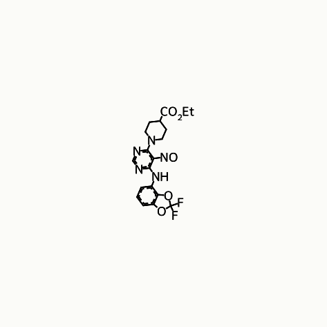 CCOC(=O)C1CCN(c2ncnc(Nc3cccc4c3OC(F)(F)O4)c2N=O)CC1